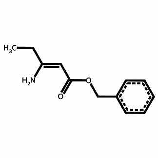 CCC(N)=CC(=O)OCc1ccccc1